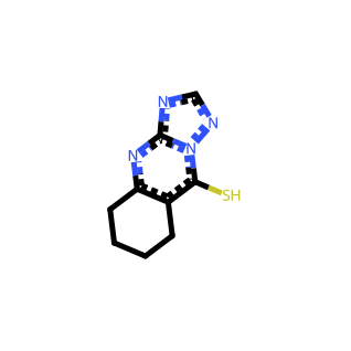 Sc1c2c(nc3ncnn13)CCCC2